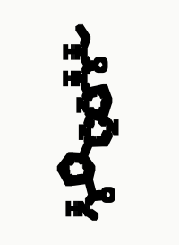 CCNC(=O)Nc1ccc2ncc(-c3cccc(C(=O)NC)c3)nc2n1